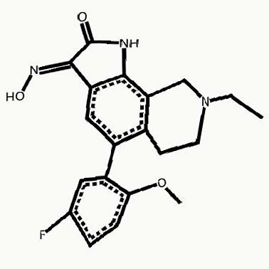 CCN1CCc2c(-c3cc(F)ccc3OC)cc3c(c2C1)NC(=O)/C3=N/O